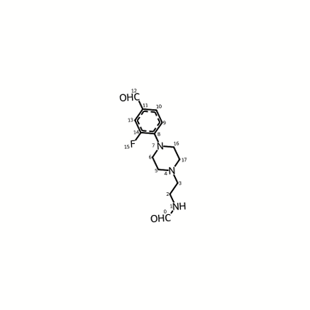 O=CNCCN1CCN(c2ccc(C=O)cc2F)CC1